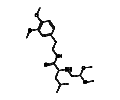 COc1ccc(CCNC(=O)C(CC(C)C)NCC(OC)OC)cc1OC